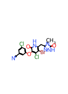 Cn1c(Cc2[nH]c(=O)c(Oc3cc(Cl)cc(C#N)c3)c(Cl)c2Br)n[nH]c1=O